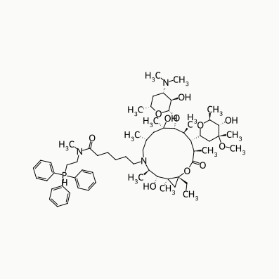 CC[C@@]12C[C@@]1(C)[C@H](O)[C@@H](C)N(CCCCCC(=O)N(C)CC[PH](c1ccccc1)(c1ccccc1)c1ccccc1)C[C@H](C)C[C@@](C)(O)[C@H](O[C@@H]1O[C@H](C)C[C@H](N(C)C)[C@H]1O)[C@@H](C)[C@H](C1C[C@@](C)(OC)[C@@H](O)[C@H](C)O1)[C@@H](C)C(=O)O2